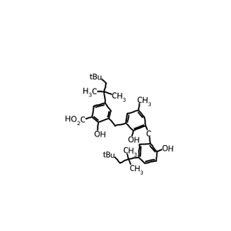 Cc1cc(Cc2cc(C(C)(C)CC(C)(C)C)ccc2O)c(O)c(Cc2cc(C(C)(C)CC(C)(C)C)cc(C(=O)O)c2O)c1